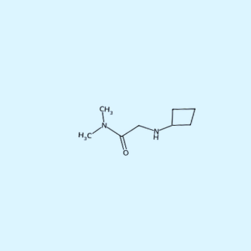 CN(C)C(=O)CNC1CCC1